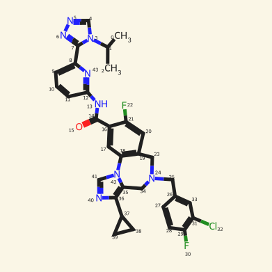 CC(C)n1cnnc1-c1cccc(NC(=O)c2cc3c(cc2F)CN(Cc2ccc(F)c(Cl)c2)Cc2c(C4CC4)ncn2-3)n1